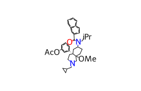 CO[C@]12CC[C@H](N(CC(C)C)C(=O)c3ccc4ccccc4c3)C[C@]1(c1cccc(OC(C)=O)c1)CCN(CC1CC1)C2